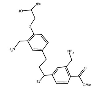 CCC(CCc1ccc(OCC(O)C(C)(C)C)c(CN)c1)c1ccc(C(=O)OC)c(CN)c1